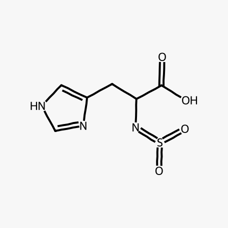 O=C(O)C(Cc1c[nH]cn1)N=S(=O)=O